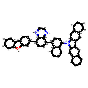 c1ccc2cc3c(cc2c1)c1cc2ccccc2cc1n3-c1ccc(-c2ccc(-c3ccc4c(c3)oc3ccccc34)c3nccnc23)c2ccccc12